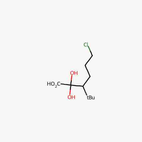 CC(C)(C)C(CCCCl)C(O)(O)C(=O)O